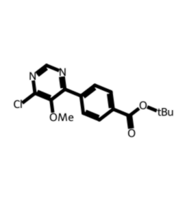 COc1c(Cl)ncnc1-c1ccc(C(=O)OC(C)(C)C)cc1